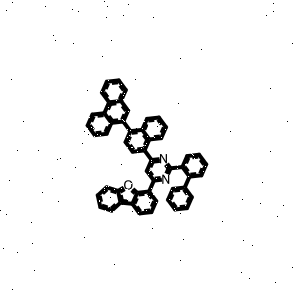 c1ccc(-c2ccccc2-c2nc(-c3ccc(-c4cc5ccccc5c5ccccc45)c4ccccc34)cc(-c3cccc4c3oc3ccccc34)n2)cc1